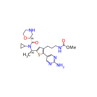 COC(=O)NCCCc1cc([C@@H](C)N(C(=O)[C@H]2CNCCO2)C2CC2)sc1-c1cnc(N)nc1